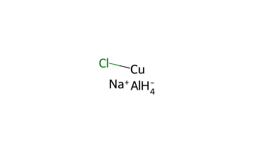 [AlH4-].[Cl][Cu].[Na+]